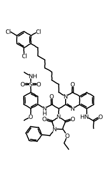 CCOC1C(=O)N(C(C(=O)Nc2cc(S(=O)(=O)NC)ccc2OC)c2nc3c(NC(C)=O)cccc3c(=O)n2CCCCCCCCc2c(Cl)cc(Cl)cc2Cl)C(=O)N1Cc1ccccc1